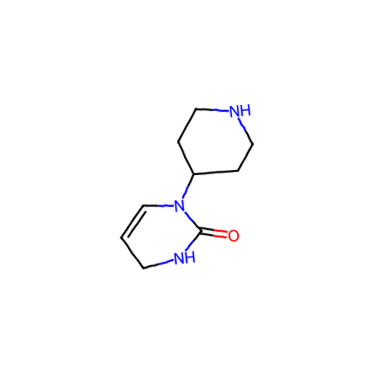 O=C1NCC=CN1C1CCNCC1